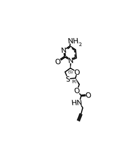 C#CCNC(=O)OC[C@@H]1O[C@H](n2ccc(N)nc2=O)CS1